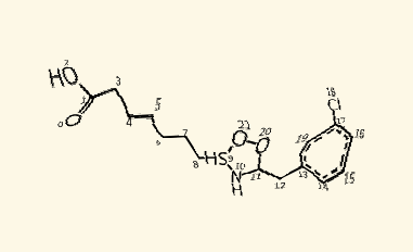 O=C(O)CCCCCC[SH]1NC(Cc2cccc(Cl)c2)OO1